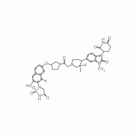 Cn1c(=O)n(C2CCC(=O)NC2=O)c2ccc(C3CCN(CC(=O)N4CCC(Oc5ccc6cc(O)c(N7CC(=O)NS7(=O)=O)c(F)c6c5)C4)CC3(F)F)cc21